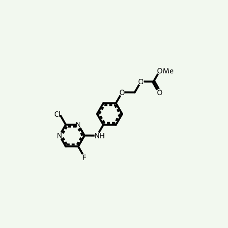 COC(=O)OCOc1ccc(Nc2nc(Cl)ncc2F)cc1